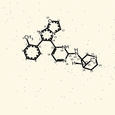 Cc1ccccc1-c1nc2occn2c1C1=CC=NC(N[C@@H]2CN3CCC2CC3)N1